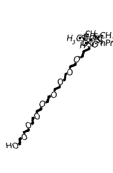 CCC[Si](C)(C)O[Si](C)(CCCOCCOCCOCCOCCOCCOCCOCCOCCO)O[SiH](C)C